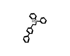 c1ccc(-c2ccc(CC[SiH](c3ccccc3)c3ccccc3)cc2)cc1